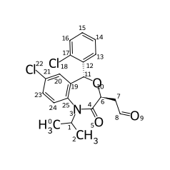 CC(C)N1C(=O)[C@H](CC=O)O[C@@H](c2ccccc2Cl)c2cc(Cl)ccc21